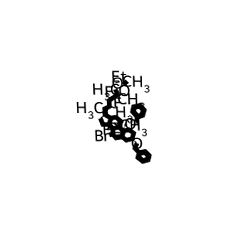 CCOC(C)OC(C)(C)C(F)(F)CC[C@@H](C)[C@H]1CC[C@H]2[C@@H]3C(Br)C=C4C[C@@H](OCc5ccccc5)C[C@H](OCc5ccccc5)[C@]4(C)[C@H]3CC[C@]12C